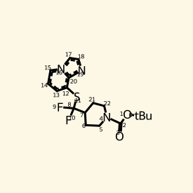 CC(C)(C)OC(=O)N1CCC(C(F)(F)Sc2cccn3ccnc23)CC1